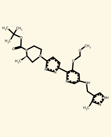 COCOc1cc(NCc2c[nH]nc2C)cnc1-c1ccc(N2CCN(C(=O)OC(C)(C)C)[C@H](C)C2)nn1